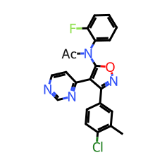 CC(=O)N(c1ccccc1F)c1onc(-c2ccc(Cl)c(C)c2)c1-c1ccncn1